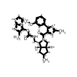 COc1cccc(-c2sc(C)nc2C(=O)N2C[C@@H]3CC(C)C[C@@H]3[C@H]2CNC(=O)Oc2c(C)nc3sccn23)c1